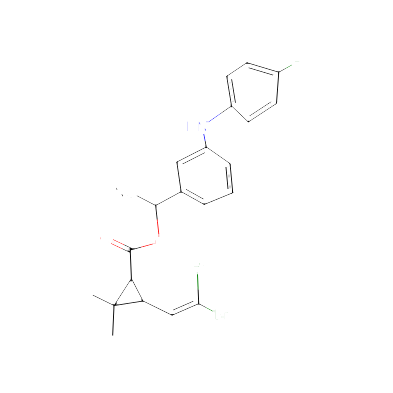 CC1(C)C(C=C(Br)Br)C1C(=O)OC(C#N)c1cccc(Nc2ccc(F)cc2)c1